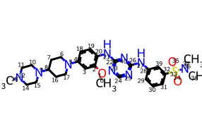 COc1cc(N2CCC(N3CCN(C)CC3)CC2)ccc1Nc1ncnc(Nc2cccc(S(=O)(=O)N(C)C)c2)n1